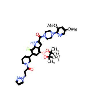 COc1cnc(N2CCN(C(=O)c3cc4c(B5OC(C)(C)C(C)(C)O5)cc(C5=CCCN(C(=O)CCn6cccn6)C5)c(F)c4[nH]3)CC2)c(OC)c1